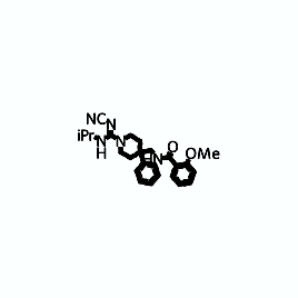 COc1ccccc1C(=O)NCC1(c2ccccc2)CCN(/C(=N/C#N)NC(C)C)CC1